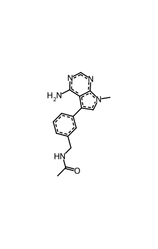 CC(=O)NCc1cccc(-c2cn(C)c3ncnc(N)c23)c1